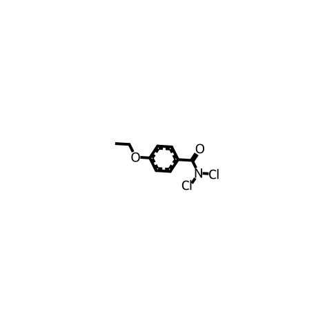 CCOc1ccc(C(=O)N(Cl)Cl)cc1